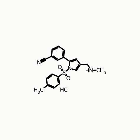 CNCc1cc(-c2cccc(C#N)c2)n(S(=O)(=O)c2ccc(C)cc2)c1.Cl